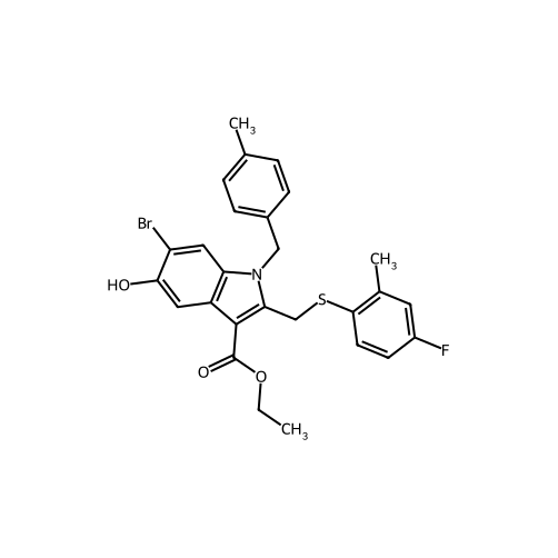 CCOC(=O)c1c(CSc2ccc(F)cc2C)n(Cc2ccc(C)cc2)c2cc(Br)c(O)cc12